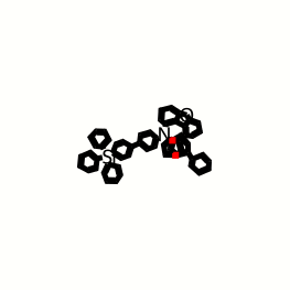 c1ccc(-c2ccc(N(c3ccc(-c4ccc([Si](c5ccccc5)(c5ccccc5)c5ccccc5)cc4)cc3)c3cccc4oc5cccc(-c6ccccc6)c5c34)cc2)cc1